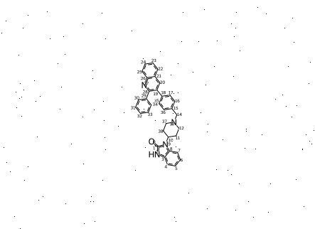 O=c1[nH]c2ccccc2n1C1CCN(Cc2ccc(-c3cc4ccccc4nc3-c3ccccc3)cc2)CC1